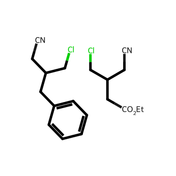 CCOC(=O)CC(CCl)CC#N.N#CCC(CCl)Cc1ccccc1